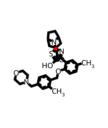 Cc1ccc(OCc2ccc(CN3CCOCC3)cc2C)c(-c2csc(N3C4CCC3CC(C3OC3O)C4)n2)c1